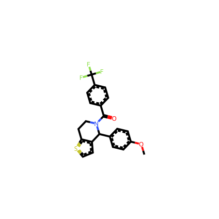 COc1ccc(C2c3ccsc3CCN2C(=O)c2ccc(C(F)(F)F)cc2)cc1